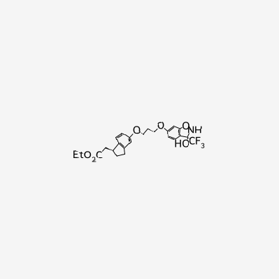 CCOC(=O)C[C@@H]1CCc2cc(OCCCOc3ccc4c(c3)ONC4(O)C(F)(F)F)ccc21